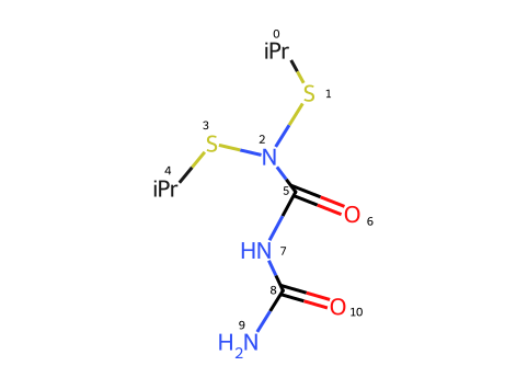 CC(C)SN(SC(C)C)C(=O)NC(N)=O